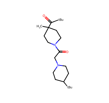 CC(C)(C)C(=O)C1(C)CCN(C(=O)CN2CCC(C(C)(C)C)CC2)CC1